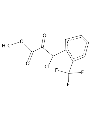 COC(=O)C(=O)C(Cl)c1ccccc1C(F)(F)F